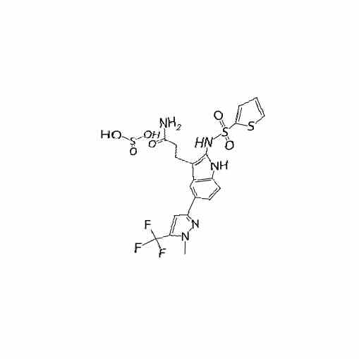 Cn1nc(-c2ccc3[nH]c(NS(=O)(=O)c4cccs4)c(CCC(N)=O)c3c2)cc1C(F)(F)F.O=S(O)O